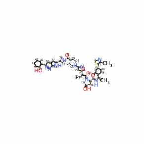 Cc1ncsc1-c1ccc([C@H](C)NC(=O)[C@@H]2C[C@@H](O)CN2C(=O)[C@H](c2cc(N3CCC(C(=O)N4CC(c5cc6cc(-c7ccccc7O)nnc6[nH]5)C4)CC3)no2)C(C)C)cc1